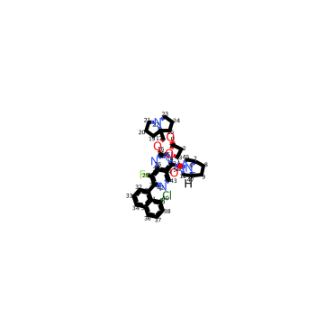 O=C1C[C@H](C(=O)N2C3CC[C@H]2CN(c2nc(OCC45CCCN4CCC5)nc4c(F)c(-c5cccc6cccc(Cl)c56)ncc24)C3)O1